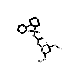 COC1=CC(OC)=NN(NC(=O)NS(=O)(=O)c2ccccc2-c2ccccc2)N1